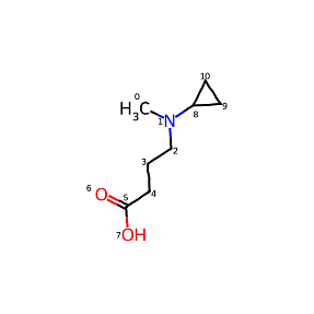 CN(CCCC(=O)O)C1CC1